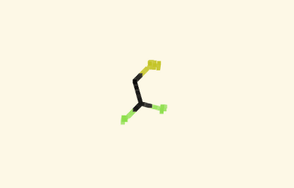 FC(F)CS